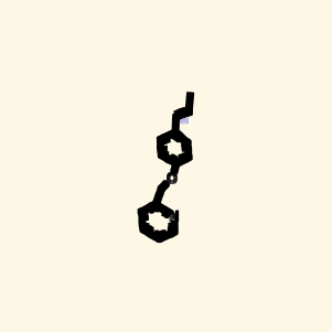 C/C=C/c1ccc(OCc2ccccn2)cc1